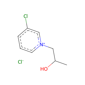 CC(O)C[n+]1cccc(Cl)c1.[Cl-]